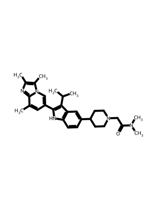 Cc1nc2c(C)cc(-c3[nH]c4ccc(C5CCN(CC(=O)N(C)C)CC5)cc4c3C(C)C)cn2c1C